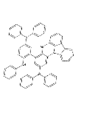 B1c2c(-c3cc(N(c4ccccc4)c4ccccc4)ccc3Nc3ccccc3)cc(N(c3ccccc3)c3ccccc3)cc2-n2c3ccccc3c3cccc1c32